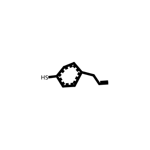 C=CCc1ccc(S)cc1